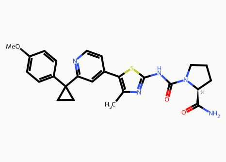 COc1ccc(C2(c3cc(-c4sc(NC(=O)N5CCC[C@H]5C(N)=O)nc4C)ccn3)CC2)cc1